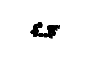 O=C(O)N[C@@H](C(=O)N1CCC[C@H]1c1ncc(-c2ccc(-c3ccc(-c4cnc([C@@H]5CCCN5C(=O)[C@H]5CCN(Cc6ccccc6)C5)[nH]4)cc3)cc2)[nH]1)c1ccccc1